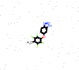 Cc1c(F)c(F)c(Oc2ccc3nn[nH]c3c2)c(F)c1F